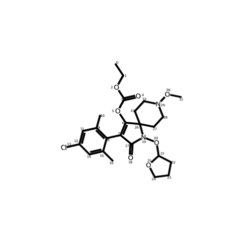 CCOC(=O)OC1=C(c2c(C)cc(Cl)cc2C)C(=O)N(OC2CCCO2)C12CCN(OC)CC2